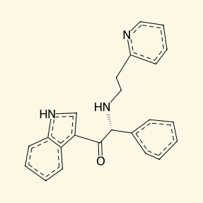 O=C(c1c[nH]c2ccccc12)[C@H](NCCc1ccccn1)c1ccccc1